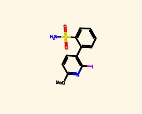 COc1ccc(-c2ccccc2S(N)(=O)=O)c(I)n1